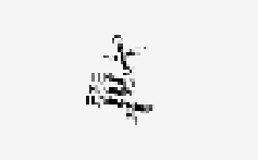 CC(C)[NH3+].CC(C)[NH3+].CC(C)[NH3+].CC(C)[NH3+].[O-][Ti]([O-])([O-])[O-]